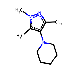 Cc1nn(C)c(C)c1N1CCCCC1